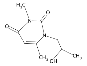 Cc1cc(=O)n(C)c(=O)n1CC(C)O